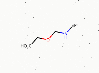 CCCNCOCC(=O)O